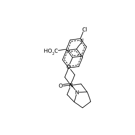 O=C(O)c1cc(Cl)ccc1OCC(=O)N1C2CCC1CN(Cc1ccc(F)cc1)C2